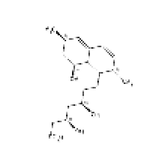 C[C@H]1C=C2C=C[C@H](C)C(CC[C@@H](O)C[C@@H](O)CC(=O)O)C2[C@@H](O)C1